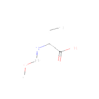 CC[C@@H](NBOC)C(=O)O